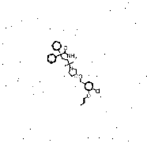 CC=COc1cc(CO[C@@H]2CCN(C(C)(C)CCC(C(N)=O)(c3ccccc3)c3ccccc3)C2)ccc1Cl